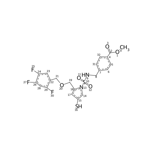 COC(=O)c1ccc(CNS(=O)(=O)n2cc(S)cc2COCc2cc(F)c(F)cc2F)cc1